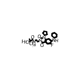 CC(O)(C(=O)NCCn1c(=O)c2cc(F)c(NC3CCCCC3)cc2n(C2CCCC2)c1=O)C(F)(F)F